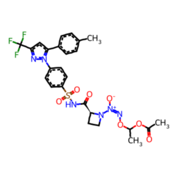 CC(=O)OC(C)O/N=[N+](/[O-])N1CC[C@H]1C(=O)NS(=O)(=O)c1ccc(-n2nc(C(F)(F)F)cc2-c2ccc(C)cc2)cc1